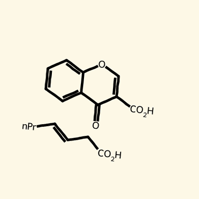 CCCC=CCC(=O)O.O=C(O)c1coc2ccccc2c1=O